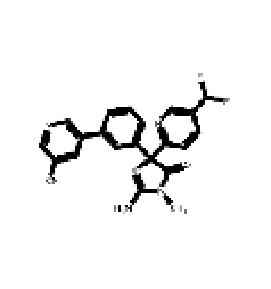 CN1C(=O)C(c2cccc(-c3cncc(C#N)c3)c2)(c2ccc(C(F)F)cn2)N=C1N